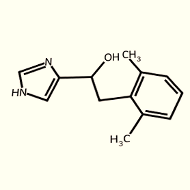 Cc1cccc(C)c1CC(O)c1c[nH]cn1